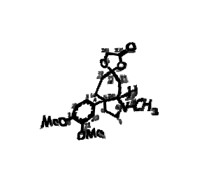 COc1ccc([C@]23CCN(C)[C@H]2CC2(CC3)OCC(=O)O2)cc1OC